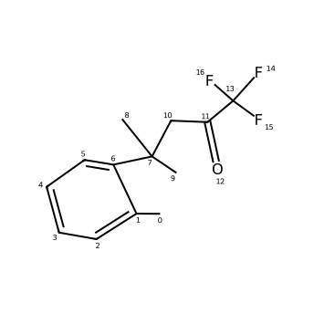 Cc1ccccc1C(C)(C)CC(=O)C(F)(F)F